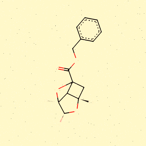 B[C@@H]1O[C@@]2(CC)CC3(C(=O)OCc4ccccc4)O[C@H]1C32